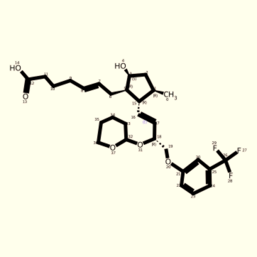 C[C@@H]1C[C@H](O)[C@H](CC=CCCCC(=O)O)[C@H]1/C=C/[C@H](COc1cccc(C(F)(F)F)c1)OC1CCCCO1